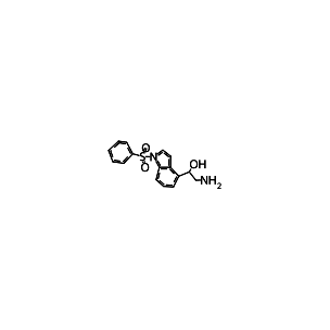 NCC(O)c1cccc2c1ccn2S(=O)(=O)c1ccccc1